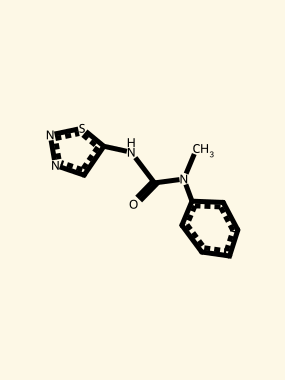 CN(C(=O)Nc1cnns1)c1ccccc1